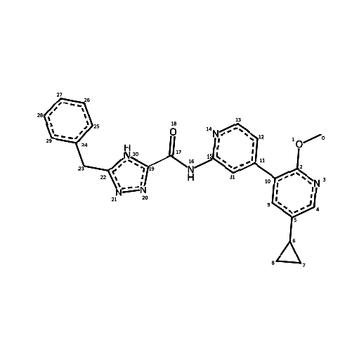 COc1ncc(C2CC2)cc1-c1ccnc(NC(=O)c2nnc(Cc3ccccc3)[nH]2)c1